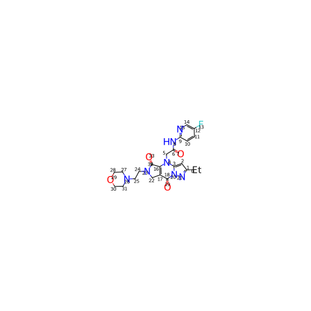 CCc1cc2n(CC(=O)Nc3ccc(F)cn3)c3c(c(=O)n2n1)CN(CCN1CCOCC1)C3=O